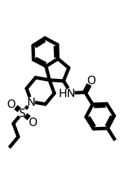 CCCS(=O)(=O)N1CCC2(CC1)c1ccccc1CC2NC(=O)c1ccc(C)cc1